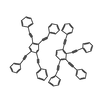 C(#Cc1cc(C#Cc2ccccc2)c(C#Cc2ccccc2)cc1C#Cc1ccccc1)c1ccccc1.C(#Cc1ccc(C#Cc2ccccc2)c(C#Cc2ccccc2)c1C#Cc1ccccc1)c1ccccc1